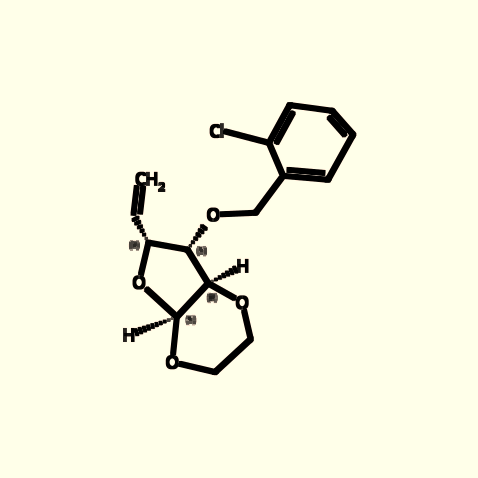 C=C[C@H]1O[C@@H]2OCCO[C@@H]2[C@H]1OCc1ccccc1Cl